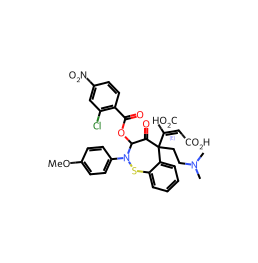 COc1ccc(N2Sc3ccccc3C(CCN(C)C)(/C(=C\C(=O)O)C(=O)O)C(=O)C2OC(=O)c2ccc([N+](=O)[O-])cc2Cl)cc1